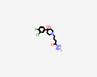 NNC(=O)CCCN1CCC(O)(c2ccc(F)c(Cl)c2)CC1